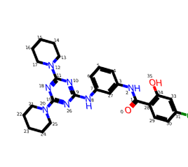 O=C(Nc1cccc(Nc2nc(N3CCCCC3)nc(N3CCCCC3)n2)c1)c1ccc(Cl)cc1O